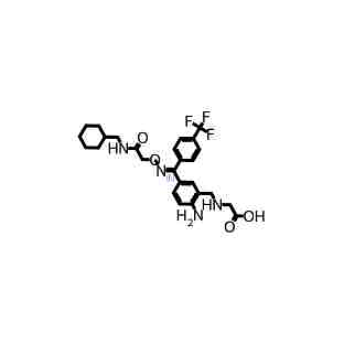 Nc1ccc(/C(=N/OCC(=O)NCC2CCCCC2)c2ccc(C(F)(F)F)cc2)cc1CNCC(=O)O